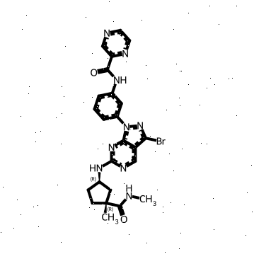 CNC(=O)[C@]1(C)CC[C@@H](Nc2ncc3c(Br)nn(-c4cccc(NC(=O)c5cnccn5)c4)c3n2)C1